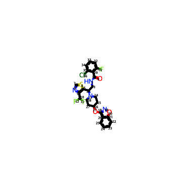 O=C(NCC(c1scnc1C(F)F)N1CCC(Oc2noc3ccccc23)CC1)c1c(F)cccc1Cl